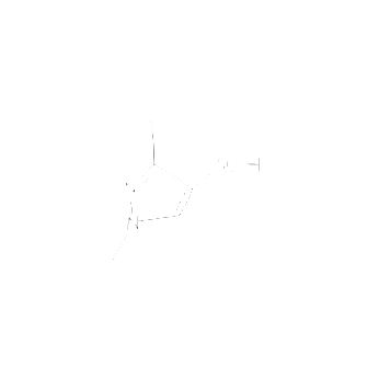 Cc1nn(C)cc1S(=O)(=O)O